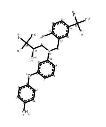 Cc1ccc(Oc2cccc(N(Cc3cc(C(F)(F)F)ccc3F)C[C@@H](O)C(F)(F)F)c2)cc1